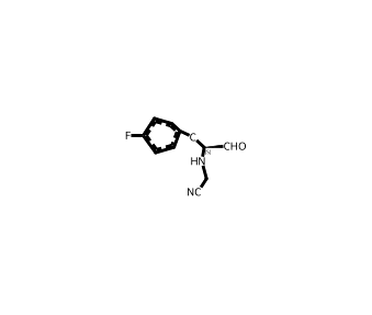 N#CCN[C@H](C=O)Cc1ccc(F)cc1